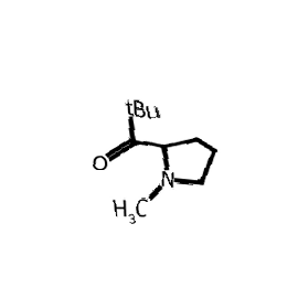 CN1CCCC1C(=O)C(C)(C)C